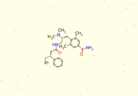 Cc1cc(C(N)=O)cc(C)c1C[C@@H](CNC(=O)C[C@H](CC(C)C)c1ccccc1)N(C)C